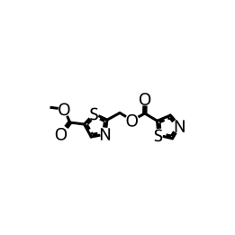 COC(=O)c1cnc(COC(=O)c2cncs2)s1